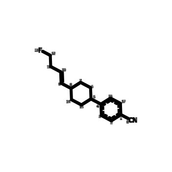 N#Cc1ccc(C2CCC(/C=C/CCF)CC2)cc1